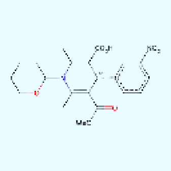 COC(=O)C1=C(C)N(C2CCCCO2)C(C)=C(C(=O)O)[C@@H]1c1cccc([N+](=O)[O-])c1